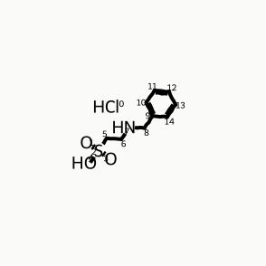 Cl.O=S(=O)(O)CCNCc1ccccc1